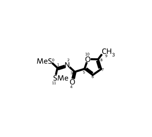 CSC(=NC(=O)c1ccc(C)o1)SC